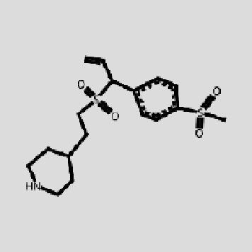 C=CC(c1ccc(S(C)(=O)=O)cc1)S(=O)(=O)CCC1CCNCC1